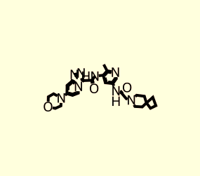 Cc1ncc(NC(=O)CN2CCC3(CCC3)CC2)cc1NC(=O)c1nnc2cc(N3CCOCC3)ccn12